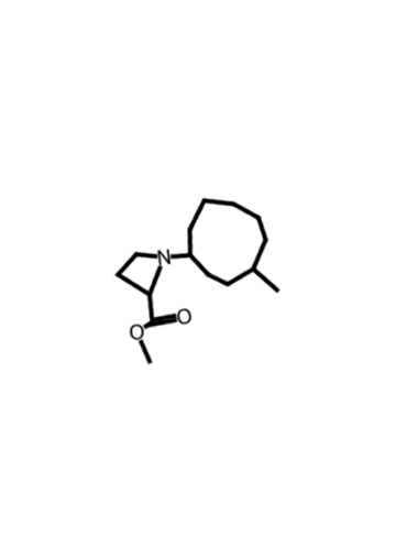 COC(=O)C1CCN1C1CCCCCC(C)CC1